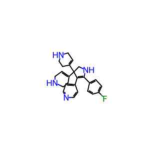 Fc1ccc(C2=C(c3ccncc3)C(C3=CCNCC3)(C3=CCNCC3)CN2)cc1